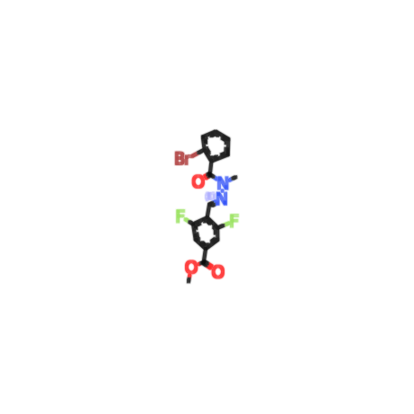 COC(=O)c1cc(F)c(/C=N/N(C)C(=O)c2ccccc2Br)c(F)c1